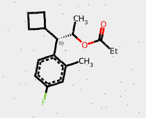 CCC(=O)OC(C)[C@H](c1ccc(F)cc1C)C1CCC1